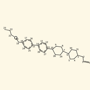 C=CCC1CCC(C2CCC(c3ccc(-c4ccc(COCCC)cc4)cc3)CC2)CC1